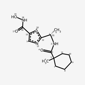 C[C@H](NC(=O)C1(C)CCCCC1)c1ncc(C(=O)NO)s1